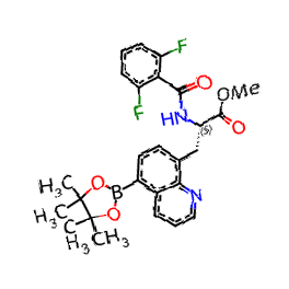 COC(=O)[C@H](Cc1ccc(B2OC(C)(C)C(C)(C)O2)c2cccnc12)NC(=O)c1c(F)cccc1F